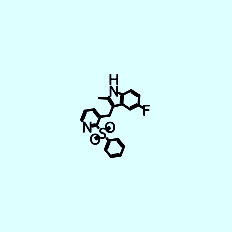 Cc1[nH]c2ccc(F)cc2c1Cc1cccnc1S(=O)(=O)c1ccccc1